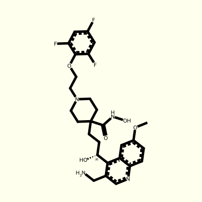 COc1ccc2ncc(CN)c([C@H](O)CCC3(C(=O)NO)CCN(CCOc4c(F)cc(F)cc4F)CC3)c2c1